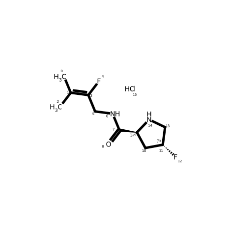 CC(C)=C(F)CNC(=O)[C@@H]1C[C@@H](F)CN1.Cl